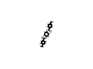 CCc1ccc(C(=O)OC2CCC(OC(=O)c3ccc(CC)cc3)CC2)cc1